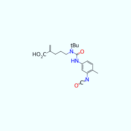 C=C(CCCN(C(=O)Nc1ccc(C)c(N=C=O)c1)C(C)(C)C)C(=O)O